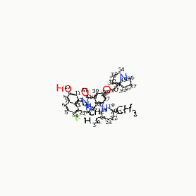 C#Cc1c(F)ccc2cc(O)cc(-n3ncc4c(N5CC(C)CCC(C)C5)cc(OCC56CCCN5CCC6)cc4c3=O)c12